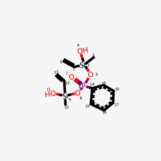 C=C[Si](C)(O)OP(=O)(O[Si](C)(O)C=C)c1ccccc1